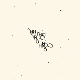 Cl.O=C(c1cc(Cc2n[nH]c(=O)c3ccccc23)ccc1F)N1CC(CNC2CC2)C1